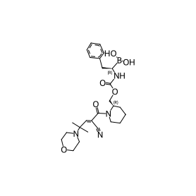 CC(C)(C=C(C#N)C(=O)N1CCCC[C@@H]1COC(=O)N[C@@H](Cc1ccccc1)B(O)O)N1CCOCC1